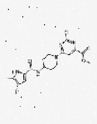 COC(=O)c1cc(N2CCC(NC(=O)c3cc(Br)c(C)[nH]3)CC2)nc(Cl)n1